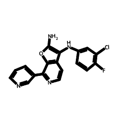 Nc1oc2c(-c3cccnc3)nccc2c1Nc1ccc(F)c(Cl)c1